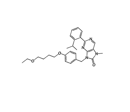 CCOCCCCOc1ccc(Cn2c(=O)n(C)c3cnc(-c4ccccc4C(C)C)nc32)cc1